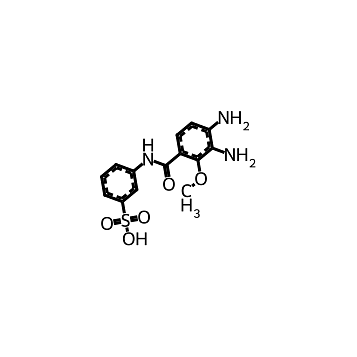 COc1c(C(=O)Nc2cccc(S(=O)(=O)O)c2)ccc(N)c1N